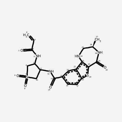 C=CC(=O)NC1CS(=O)(=O)CC1NC(=O)c1ccc2sc3c(c2c1)NC[C@@H](C)NC3=O